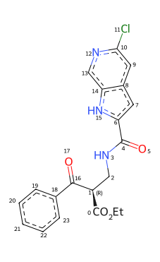 CCOC(=O)[C@H](CNC(=O)c1cc2cc(Cl)ncc2[nH]1)C(=O)c1ccccc1